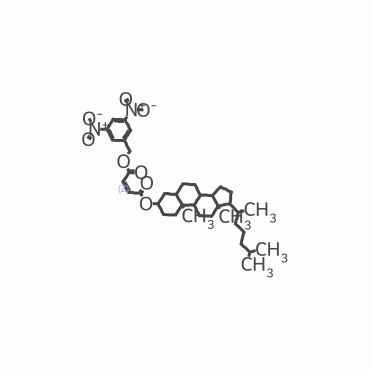 CC(C)CCCC(C)C1CCC2C3CCC4CC(OC(=O)/C=C\C(=O)OCc5cc([N+](=O)[O-])cc([N+](=O)[O-])c5)CCC4(C)C3CCC12C